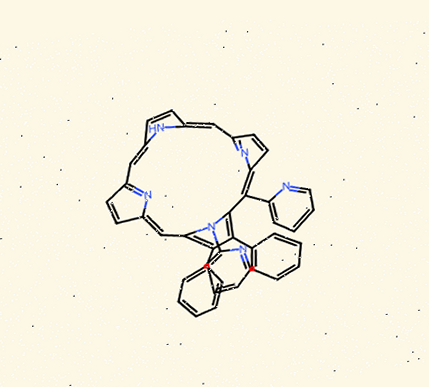 C1=Cc2cc3c(-c4ccccc4)c(-c4ccccc4)c(c(-c4ccccn4)c4nc(cc5ccc(cc1n2)[nH]5)C=C4)n3-c1ccccn1